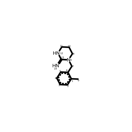 Cc1ccccc1CN1CCCNC1=N